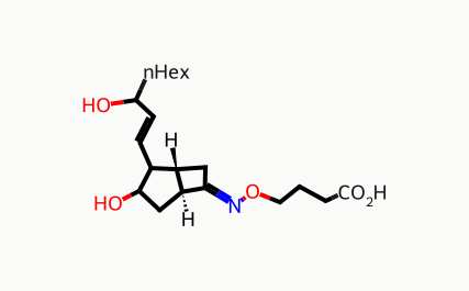 CCCCCCC(O)C=CC1C(O)C[C@@H]2C(=NOCCCC(=O)O)C[C@@H]12